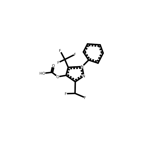 O=C(O)Oc1c(C(F)F)nn(-c2ccccc2)c1C(F)(F)F